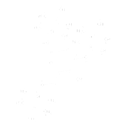 CC1C(CO[Si](C)(C)C(C)(C)C)OC(O[Si](C)(C)C(C)(C)C)CC1O[Si](C)(C)C(C)(C)C